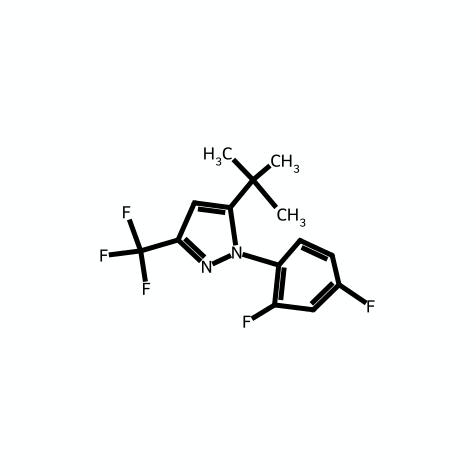 CC(C)(C)c1cc(C(F)(F)F)nn1-c1ccc(F)cc1F